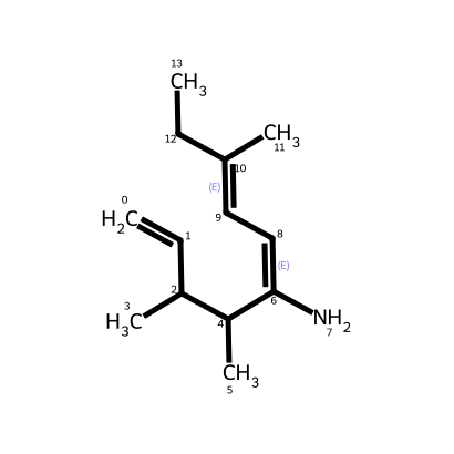 C=CC(C)C(C)/C(N)=C\C=C(/C)CC